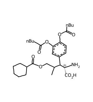 CCCCC(=O)Oc1ccc(C(C(C)COC(=O)C2CCCCC2)[C@H](N)C(=O)O)cc1OC(=O)CCCC